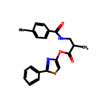 CC(CNC(=O)c1ccc(C(C)(C)C)cc1)C(=O)Oc1csc(-c2c[c]ccc2)n1